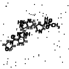 CS(=O)(=O)Nc1cncc(-c2cnc3[nH]nc(-c4nc5c(C(=O)N6CCOCC6)cccc5[nH]4)c3c2)c1